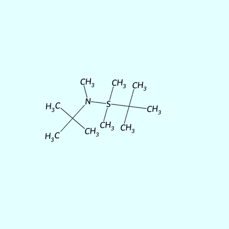 CN(C(C)(C)C)S(C)(C)C(C)(C)C